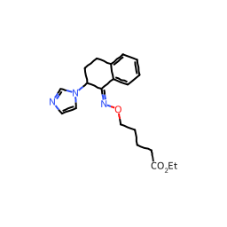 CCOC(=O)CCCCO/N=C1\c2ccccc2CCC1n1ccnc1